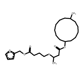 CC1CCCCCCC(OC(=O)CC(C)SCCCC(=O)OCc2ccco2)CCCCC1